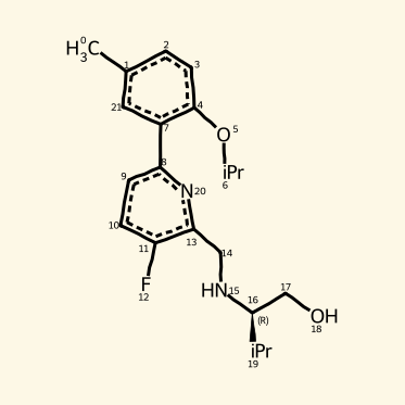 Cc1ccc(OC(C)C)c(-c2ccc(F)c(CN[C@@H](CO)C(C)C)n2)c1